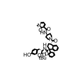 Cn1cccc(C(=O)NC2CCN(C(=O)[C@H]3CC[C@@](C(=O)N[C@@H](Cc4ccc(O)cc4)C(=O)OC(C)(C)C)(c4ccccc4)c4ccccc43)CC2)c1=O